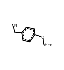 CCCCCCOc1ccc(CC#N)cc1